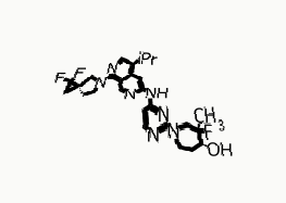 CC(C)c1cnc(N2CC[C@]3(C2)CC3(F)F)c2cnc(Nc3ccnc(N4CC[C@@H](O)[C@@](C)(F)C4)n3)cc12